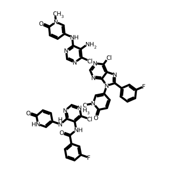 Cn1cc(-n2c(-c3cccc(F)c3)nc3c(Cl)ncnc32)ccc1=O.Cn1cc(Nc2ncnc(Cl)c2N)ccc1=O.O=C(Nc1c(Cl)ncnc1Nc1ccc(=O)[nH]c1)c1cccc(F)c1